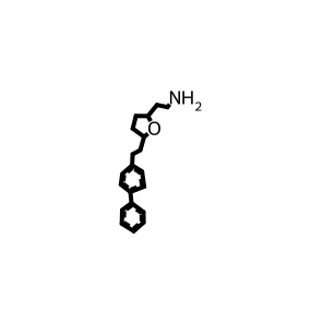 NCCC1CCC(CCc2ccc(-c3ccccc3)cc2)O1